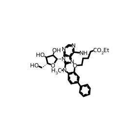 CCOC(=O)CCCCOc1cc(-c2ccccc2)ccc1N(C)c1nc2c(N)ncnc2n1[C@@H]1O[C@H](CO)[C@@H](O)[C@H]1O